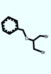 BrCC(CBr)OCc1ccccc1